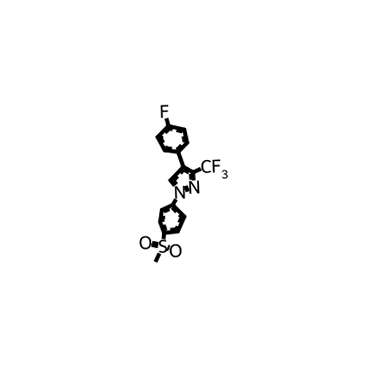 CS(=O)(=O)c1ccc(-n2cc(-c3ccc(F)cc3)c(C(F)(F)F)n2)cc1